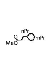 CCCc1ccc(/C=C/C(=O)OC)c(CCC)c1